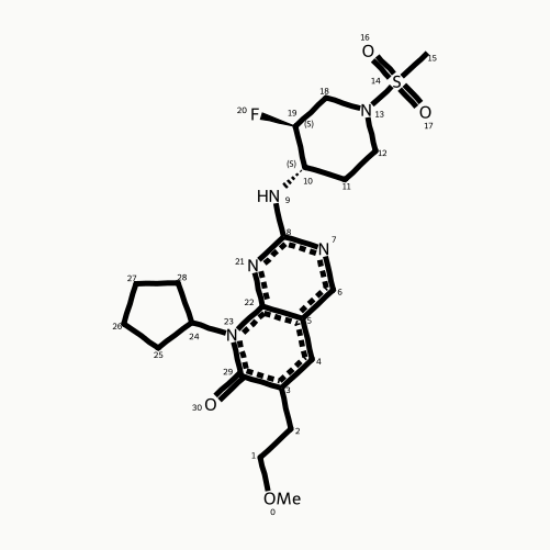 COCCc1cc2cnc(N[C@H]3CCN(S(C)(=O)=O)C[C@@H]3F)nc2n(C2CCCC2)c1=O